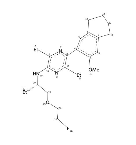 CCc1nc(-c2cc3c(cc2OC)CCCC3)c(CC)nc1N[C@@H](CC)COCCF